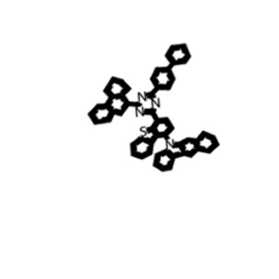 c1ccc(-c2ccc(-c3nc(-c4cc5ccccc5c5ccccc45)nc(-c4ccc(-n5c6ccccc6c6cc7ccccc7cc65)c5c4sc4ccccc45)n3)cc2)cc1